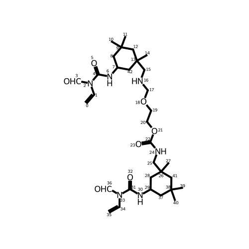 C=CN(C=O)C(=O)NC1CC(C)(C)CC(C)(CNCOCCOC(=O)NCC2(C)CC(NC(=O)N(C=C)C=O)CC(C)(C)C2)C1